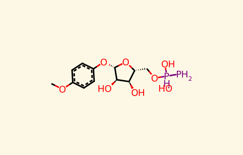 COc1ccc(O[C@@H]2O[C@H](CO[PH](O)(O)P)[C@@H](O)[C@H]2O)cc1